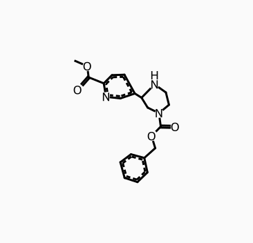 COC(=O)c1ccc(C2CN(C(=O)OCc3ccccc3)CCN2)cn1